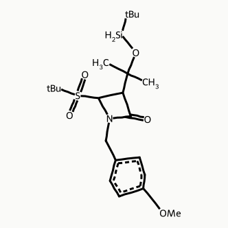 COc1ccc(CN2C(=O)C(C(C)(C)O[SiH2]C(C)(C)C)C2S(=O)(=O)C(C)(C)C)cc1